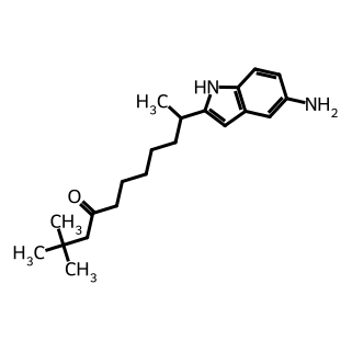 CC(CCCCCC(=O)CC(C)(C)C)c1cc2cc(N)ccc2[nH]1